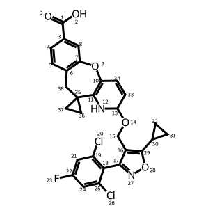 O=C(O)c1ccc2c(c1)OC1=C(NC(OCc3c(-c4c(Cl)cc(F)cc4Cl)noc3C3CC3)C=C1)C1(CC1)C2